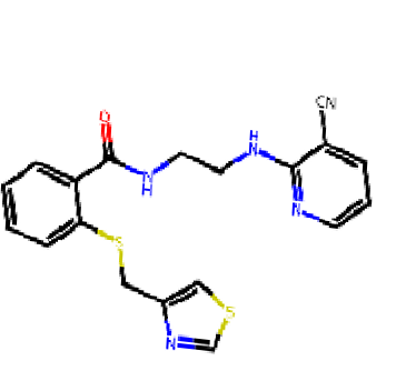 N#Cc1cccnc1NCCNC(=O)c1ccccc1SCc1cscn1